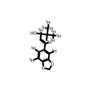 [2H]/C(=C\C([2H])(O)C(C)(C([2H])([2H])[2H])C([2H])([2H])[2H])c1c([2H])c([2H])c2c(c1[2H])OCO2